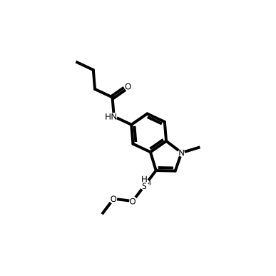 CCCC(=O)Nc1ccc2c(c1)c([SH4]OOC)cn2C